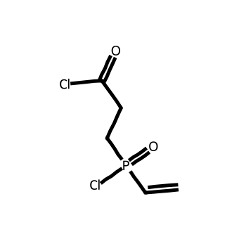 C=CP(=O)(Cl)CCC(=O)Cl